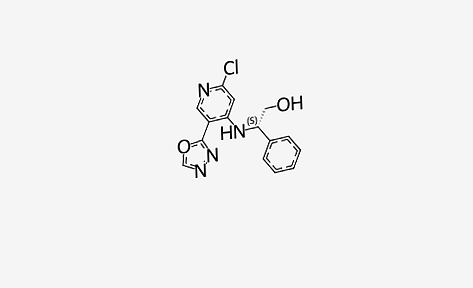 OC[C@@H](Nc1cc(Cl)ncc1-c1nnco1)c1ccccc1